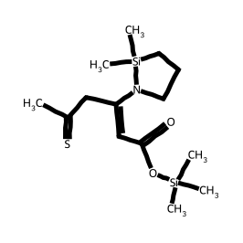 CC(=S)CC(=CC(=O)O[Si](C)(C)C)N1CCC[Si]1(C)C